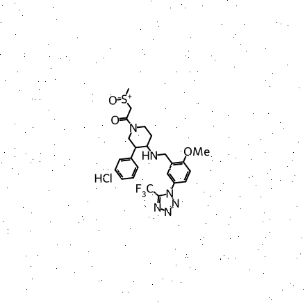 COc1ccc(-n2nnnc2C(F)(F)F)cc1CNC1CCN(C(=O)C[S+](C)[O-])CC1c1ccccc1.Cl